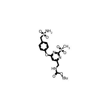 CC(C)(C)OC(=O)NCc1cc(Oc2ccc(CS(N)(=O)=O)cc2)nc(S(C)(=O)=O)n1